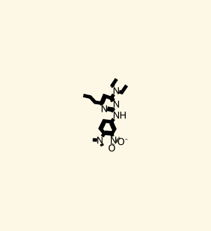 CCCc1cc(N(CC)CC)nc(Nc2ccc(N(C)C)c([N+](=O)[O-])c2)n1